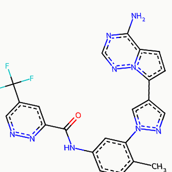 Cc1ccc(NC(=O)c2cc(C(F)(F)F)cnn2)cc1-n1cc(-c2ccc3c(N)ncnn23)cn1